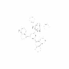 c1ccc(-c2nc(-c3ccccc3)nc(-c3cc(-c4cccc5ncccc45)cc(-c4cc5ccccc5c5ccccc45)c3)n2)cc1